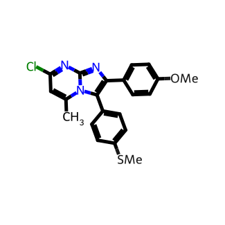 COc1ccc(-c2nc3nc(Cl)cc(C)n3c2-c2ccc(SC)cc2)cc1